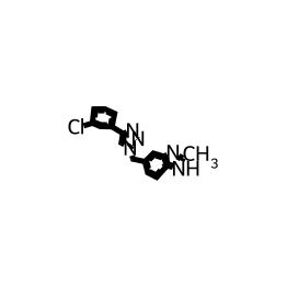 Cc1nc2cc(Cn3cc(-c4cccc(Cl)c4)nn3)ccc2[nH]1